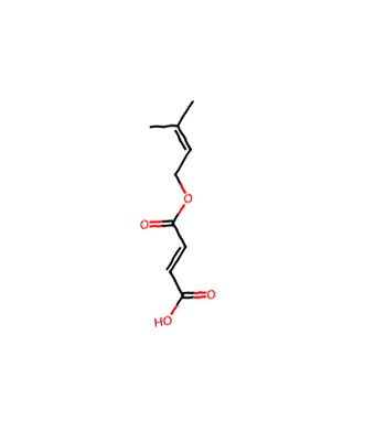 CC(C)=CCOC(=O)/C=C/C(=O)O